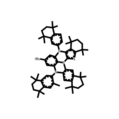 Cc1cc2c(cc1N1c3cc4c(cc3B3c5sc6c(c5N(c5ccc7c(c5)C(C)(C)CCC7(C)C)c5cc(C(C)(C)C)cc1c53)C(C)(C)CCC6(C)C)C(C)(C)CCC4(C)C)C(C)(C)CCC2(C)C